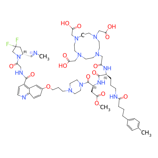 C/N=C/[C@H]1CC(F)(F)CN1C(=O)CNC(=O)c1ccnc2ccc(OCCCN3CCN(C(=O)[C@H](CC(=O)OC)NC(=O)[C@H](CCCNC(=O)CCCc4ccc(C)cc4)NC(=O)CN4CCN(CC(=O)O)CCN(CC(=O)O)CCN(CC(=O)O)CC4)CC3)cc12